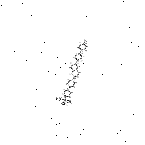 C[Si](C)(C)c1ccc(-c2ccc(-c3ccc4cc(-c5ccc(-c6ccc(F)cc6)cc5)ccc4c3)cc2)cc1